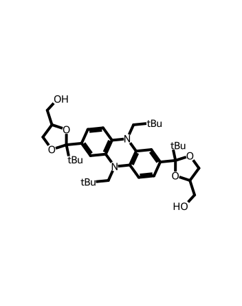 CC(C)(C)CN1c2ccc(C3(C(C)(C)C)OCC(CO)O3)cc2N(CC(C)(C)C)c2ccc(C3(C(C)(C)C)OCC(CO)O3)cc21